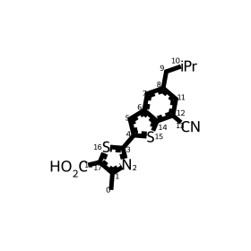 Cc1nc(-c2cc3cc(CC(C)C)cc(C#N)c3s2)sc1C(=O)O